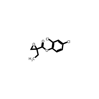 CCC1(C(=O)Oc2ccc(Cl)cc2Cl)CO1